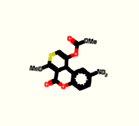 COC(=O)OC1=CSC(OC)=C2C(=O)Oc3ccc([N+](=O)[O-])cc3C12